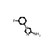 Nc1cn(-c2cccc(F)c2)cn1